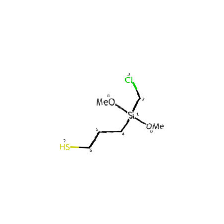 CO[Si](CCl)(CCCS)OC